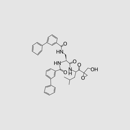 CC(C)CC(NC(=O)[C@H](CNC(=O)c1cccc(-c2ccccc2)c1)NC(=O)c1cccc(-c2ccccc2)c1)C(=O)C1(CO)CO1